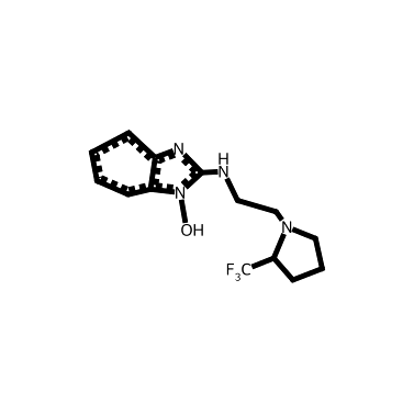 On1c(NCCN2CCCC2C(F)(F)F)nc2ccccc21